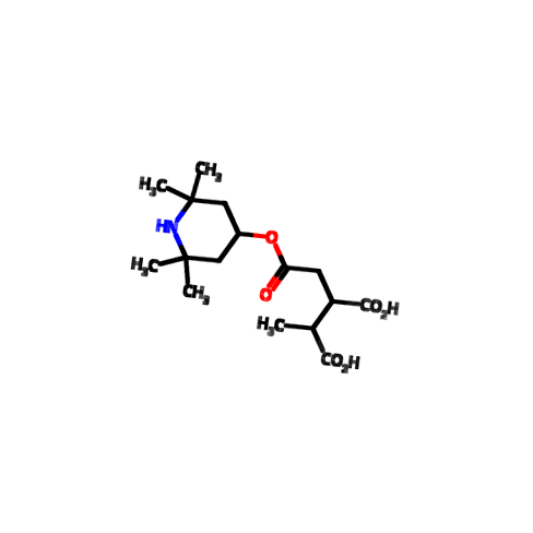 CC(C(=O)O)C(CC(=O)OC1CC(C)(C)NC(C)(C)C1)C(=O)O